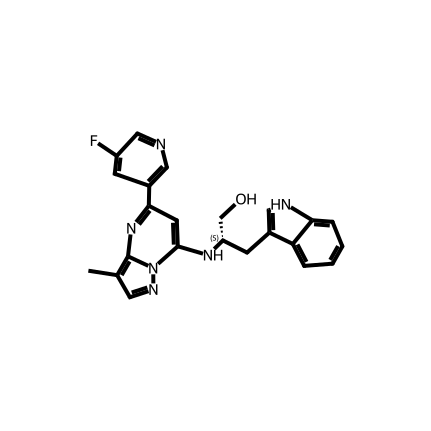 Cc1cnn2c(N[C@H](CO)Cc3c[nH]c4ccccc34)cc(-c3cncc(F)c3)nc12